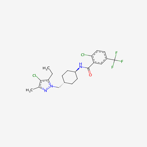 CCc1c(Cl)c(C)nn1C[C@H]1CC[C@H](NC(=O)c2cc(C(F)(F)F)ccc2Cl)CC1